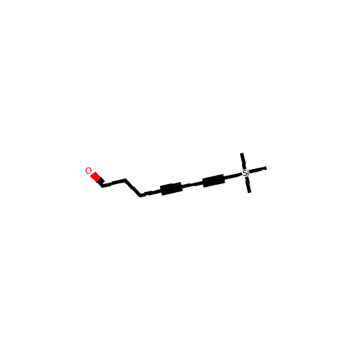 C[Si](C)(C)C#CC#CCCC=O